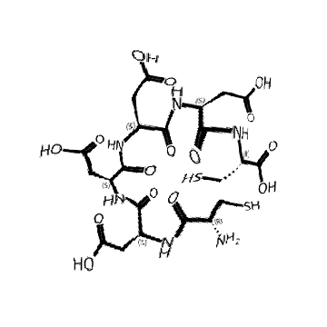 N[C@@H](CS)C(=O)N[C@@H](CC(=O)O)C(=O)N[C@@H](CC(=O)O)C(=O)N[C@@H](CC(=O)O)C(=O)N[C@@H](CC(=O)O)C(=O)N[C@@H](CS)C(=O)O